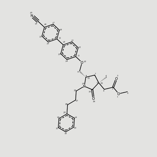 COC(=O)C[C@]1(C)C[C@@H](COc2ccc(-c3ccc(C#N)cc3)cc2)N(CCCc2ccccc2)C1=O